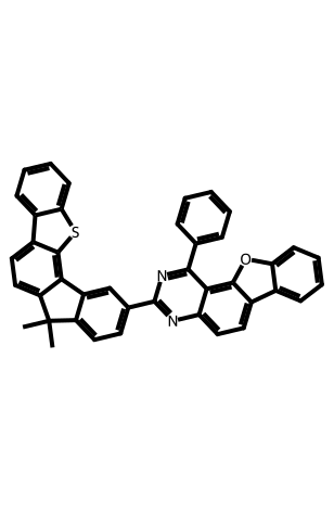 CC1(C)c2ccc(-c3nc(-c4ccccc4)c4c(ccc5c6ccccc6oc54)n3)cc2-c2c1ccc1c2sc2ccccc21